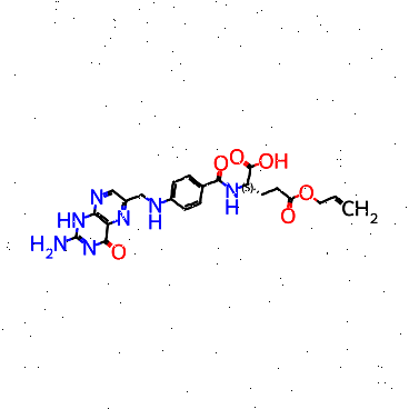 C=CCOC(=O)CC[C@H](NC(=O)c1ccc(NCc2cnc3[nH]c(N)nc(=O)c3n2)cc1)C(=O)O